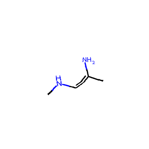 CNC=C(C)N